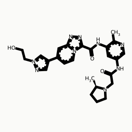 Cc1ncc(NC(=O)CN2CCC[C@H]2C)cc1NC(=O)c1nnc2cc(-c3cnn(CCO)c3)ccn12